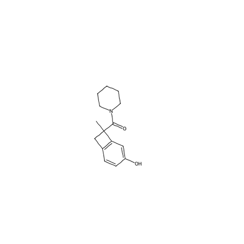 CC1(C(=O)N2CCCCC2)Cc2ccc(O)cc21